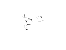 CN1CCN(C[C@H]2OC[C@H](NC(=O)OC(C)(C)C)[C@H]3OC(C)(C)O[C@H]32)CC1